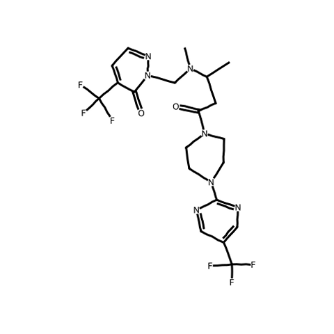 CC(CC(=O)N1CCN(c2ncc(C(F)(F)F)cn2)CC1)N(C)Cn1nccc(C(F)(F)F)c1=O